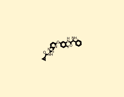 NC(C(=O)Nc1cc(Oc2ccc3nc(NC(=O)C4CC4)sc3n2)ccc1F)c1ccccc1